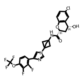 O=C(NC12CC(n3cnc(-c4ccc(OC(F)(F)F)c(F)c4F)c3)(C1)C2)[C@H]1C[C@@H](O)c2cc(Cl)ccc2O1